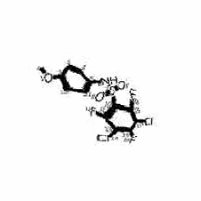 COc1ccc(NS(=O)(=O)c2c(F)c(Cl)c(F)c(Cl)c2F)cc1